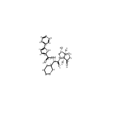 O=C(N[C@H](C(=O)N1C[C@H](Cl)[C@H]2OCC(=O)[C@H]21)C1CCCCC1)c1ccc(-c2cnccn2)o1